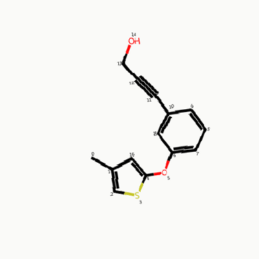 Cc1csc(Oc2cccc(C#CCO)c2)c1